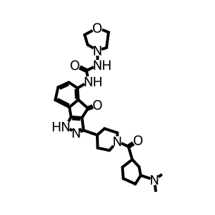 CN(C)C1CCCC(C(=O)N2CCC(c3n[nH]c4c3C(=O)c3c(NC(=O)NN5CCOCC5)cccc3-4)CC2)C1